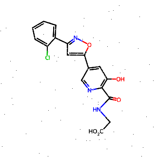 O=C(O)CNC(=O)c1ncc(-c2cc(-c3ccccc3Cl)no2)cc1O